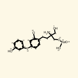 NC(CO)(CCc1ccc(Sc2cccc(O)c2)cc1Cl)CO[PH](=O)O